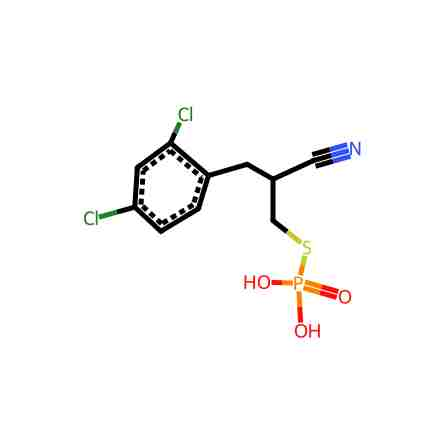 N#CC(CSP(=O)(O)O)Cc1ccc(Cl)cc1Cl